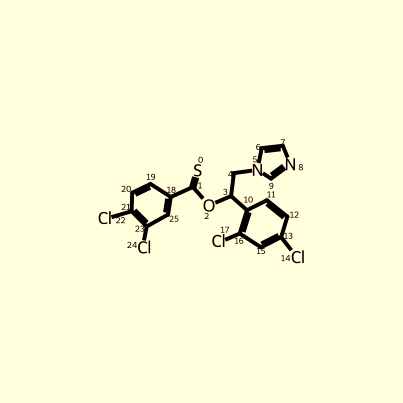 S=C(OC(Cn1ccnc1)c1ccc(Cl)cc1Cl)c1ccc(Cl)c(Cl)c1